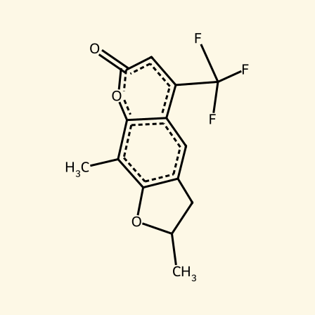 Cc1c2c(cc3c(C(F)(F)F)cc(=O)oc13)CC(C)O2